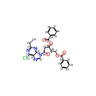 O=C(OC[C@H]1O[C@@H](n2cnc3c(Cl)nc(CI)nc32)C[C@H]1OC(=O)c1ccccc1)c1ccccc1